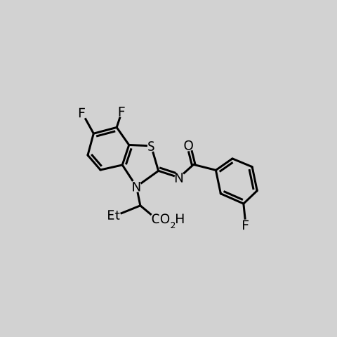 CCC(C(=O)O)n1c(=NC(=O)c2cccc(F)c2)sc2c(F)c(F)ccc21